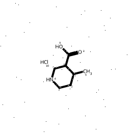 CC1CCNCC1C(=O)O.Cl